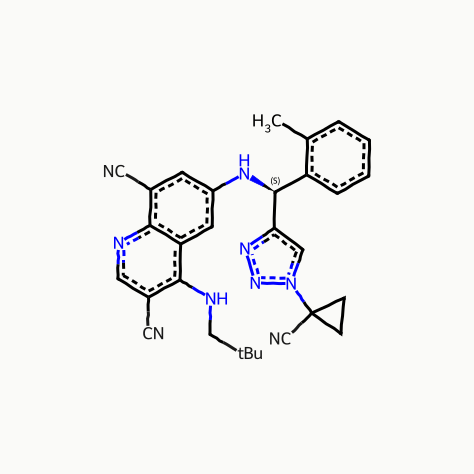 Cc1ccccc1[C@H](Nc1cc(C#N)c2ncc(C#N)c(NCC(C)(C)C)c2c1)c1cn(C2(C#N)CC2)nn1